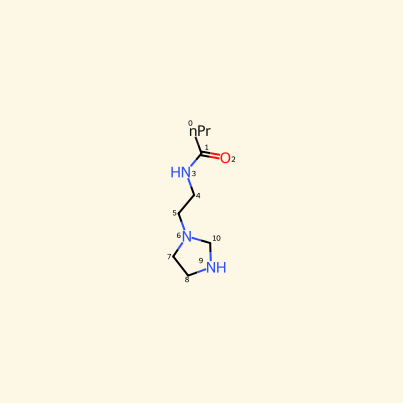 CCCC(=O)NCCN1CCNC1